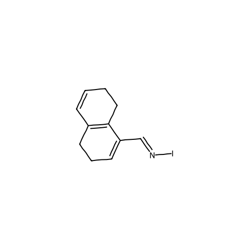 I/N=C/C1=CCCC2=C1CCC=C2